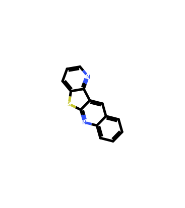 c1ccc2nc3sc4cccnc4c3cc2c1